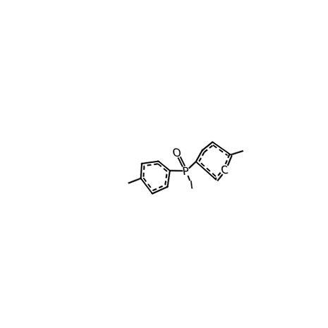 Cc1ccc(P(=O)(I)c2ccc(C)cc2)cc1